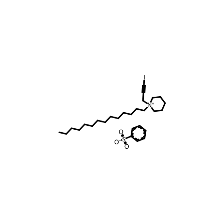 CCCCCCCCCCCCCC[N+]1(CC#CI)CCCCC1.O=S(=O)([O-])c1ccccc1